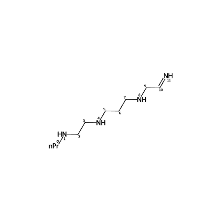 CCCNCCNCCCNCC=N